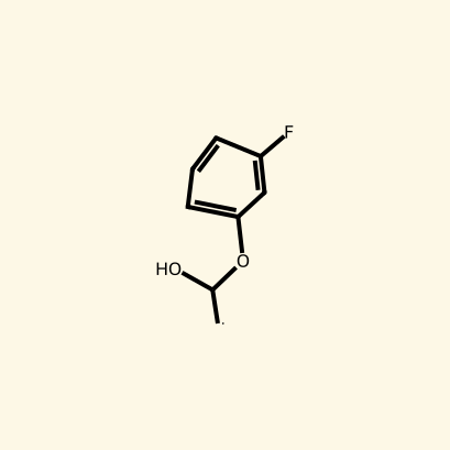 [CH2]C(O)Oc1cccc(F)c1